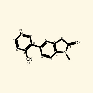 CN1C(=O)Cc2cc(-c3cnccc3C#N)ccc21